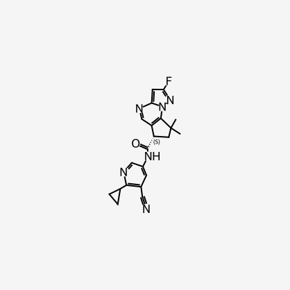 CC1(C)C[C@H](C(=O)Nc2cnc(C3CC3)c(C#N)c2)c2cnc3cc(F)nn3c21